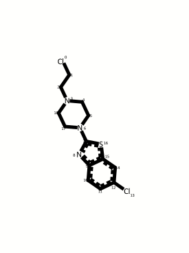 ClCCN1CCN(c2nc3ccc(Cl)cc3s2)CC1